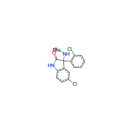 CC(C)(C)NC1(c2ccccc2Cl)C(=O)Nc2ccc(Cl)cc21